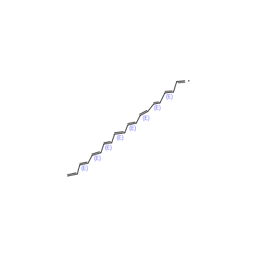 [CH]=C/C=C/C=C/C=C/C=C/C=C/C=C/C=C/C=C/C=C